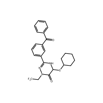 O=C(c1ccccc1)c1cccc(C2=NN(CC(F)(F)F)C(=O)C(SC3CCCCC3)N2)c1